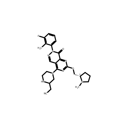 Cc1c(F)cccc1-n1ncc2c(N3CCNC(CC#N)C3)nc(OC[C@@H]3CCCN3C)nc2c1=O